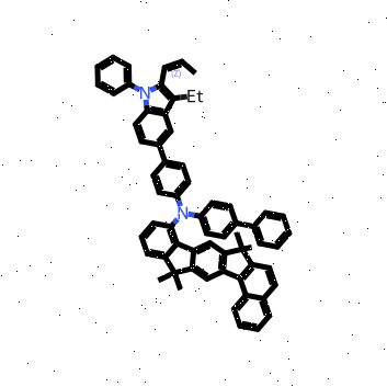 C/C=C\c1c(CC)c2cc(-c3ccc(N(c4ccc(-c5ccccc5)cc4)c4cccc5c4-c4cc6c(cc4C5(C)C)-c4c(ccc5ccccc45)C6(C)C)cc3)ccc2n1-c1ccccc1